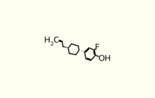 C=CC[C@H]1CC[C@H](c2ccc(O)c(F)c2)CC1